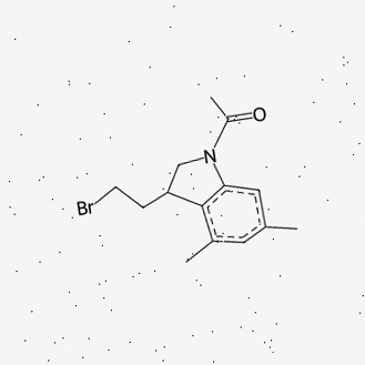 CC(=O)N1CC(CCBr)c2c(C)cc(C)cc21